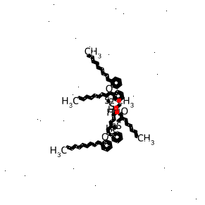 CCCCCCCCCCc1ccccc1OC(CCCCCCCCC)c1ccccc1[PH](=S)SCNC(=O)C(CCCCCCC)CS[PH](=S)c1ccccc1C(CCCCCCCCC)Oc1ccccc1CCCCCCCCCC